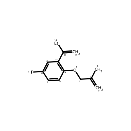 C=C(C)COc1ccc(F)cc1C(=C)CC